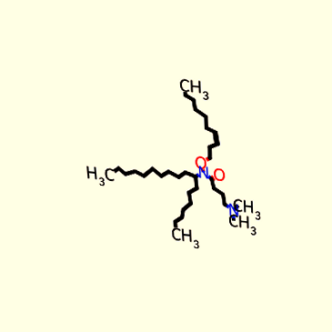 CCCCCC/C=C\CCON(C(=O)CCCN(C)C)C(CCCCCCC)CCCCCCCCCC